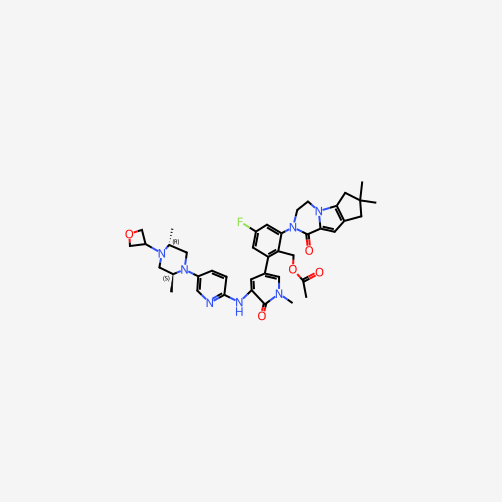 CC(=O)OCc1c(-c2cc(Nc3ccc(N4C[C@@H](C)N(C5COC5)C[C@@H]4C)cn3)c(=O)n(C)c2)cc(F)cc1N1CCn2c(cc3c2CC(C)(C)C3)C1=O